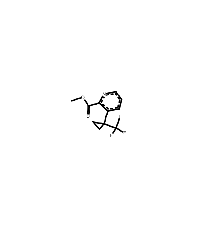 COC(=O)c1ncccc1C1(C(F)(F)F)CC1